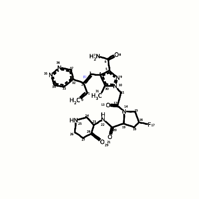 C=C/C(=C\c1c(C(N)=O)nn(CC(=O)N2CC(F)CC2C(=O)NC2CNCCC2=O)c1C)c1ccnnc1